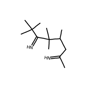 CC(=N)CC(C)C(C)(C)C(=N)C(C)(C)C